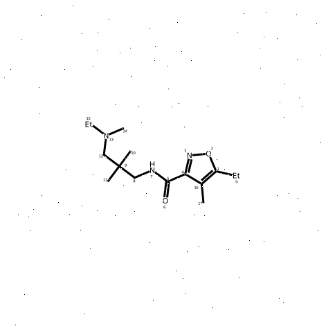 CCc1onc(C(=O)NCC(C)(C)CN(C)CC)c1C